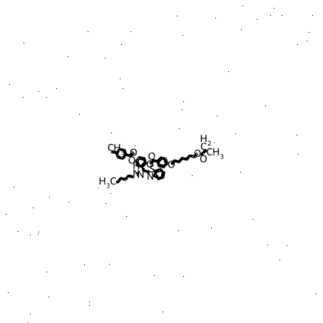 C=C(C)C(=O)OCCCCCCOc1ccc(C(=O)Oc2ccc(OC(=O)C3CCC(CC)CC3)cc2C(=NNCCCCCC)c2nc3ccccc3s2)cc1